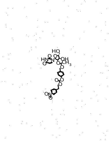 CC(OCc1ccc(OC(=O)OCCc2ccc([N+](=O)[O-])cc2)cc1)O[C@@H]1[C@H](O)[C@@H](CO)O[C@H]1n1ccc(=O)[nH]c1=O